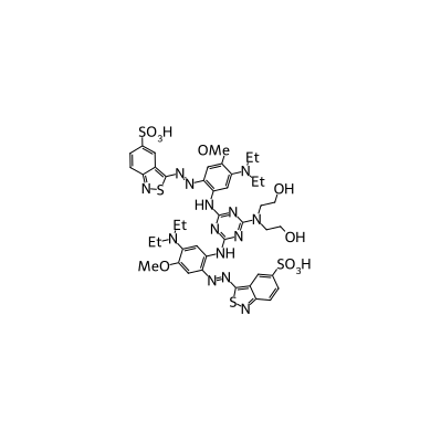 CCN(CC)c1cc(Nc2nc(Nc3cc(N(CC)CC)c(OC)cc3/N=N/c3snc4ccc(S(=O)(=O)O)cc34)nc(N(CCO)CCO)n2)c(/N=N/c2snc3ccc(S(=O)(=O)O)cc23)cc1OC